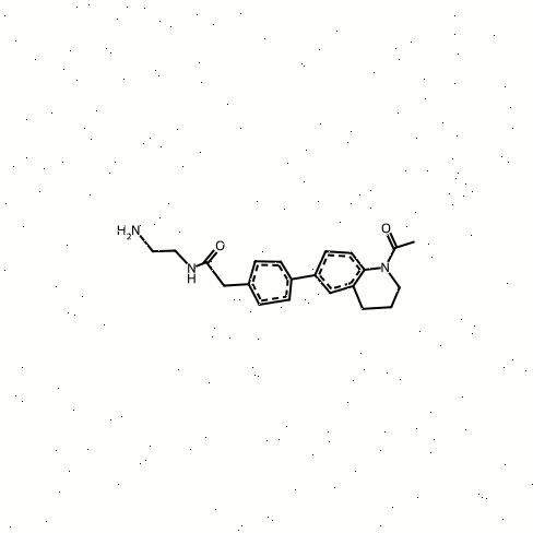 CC(=O)N1CCCc2cc(-c3ccc(CC(=O)NCCN)cc3)ccc21